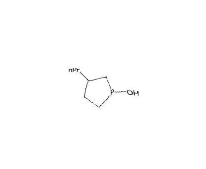 CCCC1CCP(O)C1